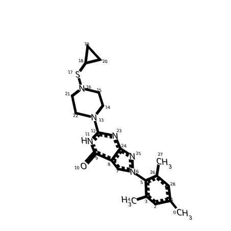 Cc1cc(C)c(-n2cc3c(=O)[nH]c(N4CCN(SC5CC5)CC4)nc3n2)c(C)c1